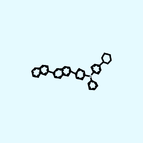 c1ccc(N(c2ccc(-c3ccc4cc(-c5ccc6ccccc6c5)ccc4c3)cc2)c2ccc(C3CCCCC3)cc2)cc1